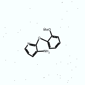 COc1ccccc1Oc1ncccc1N